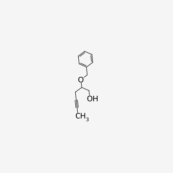 CC#CCC(CO)OCc1ccccc1